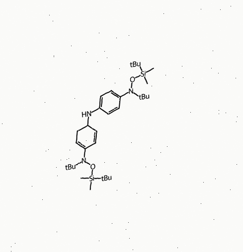 CC(C)(C)N(O[Si](C)(C)C(C)(C)C)C1=CCC(Nc2ccc(N(O[Si](C)(C)C(C)(C)C)C(C)(C)C)cc2)C=C1